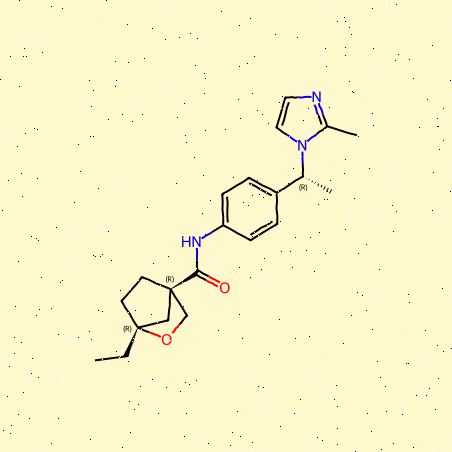 CC[C@]12CC[C@](C(=O)Nc3ccc([C@@H](C)n4ccnc4C)cc3)(CO1)C2